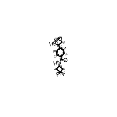 O=C(NC1CC(F)(F)C1)c1ccc(C2BOOC2)cc1